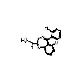 NNC1=Nc2cccc(Cl)c2C(c2ccccc2Cl)=NC1